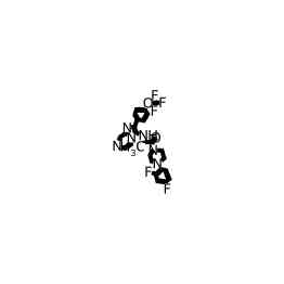 CC(Nc1c(-c2ccc(OC(F)(F)F)cc2)nc2cnccn12)C(=O)N1CCN(c2ccc(F)cc2F)CC1